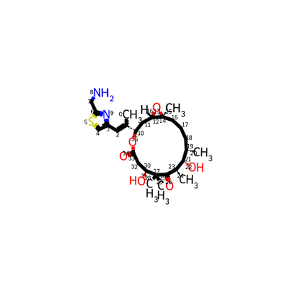 CC(=Cc1csc(CN)n1)[C@@H]1C[C@@H]2O[C@@]2(C)CCC[C@H](C)[C@H](O)[C@H](C)C(=O)C(C)(C)[C@@H](O)CC(=O)O1